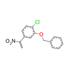 C=C(c1ccc(Cl)c(OCc2ccccc2)c1)[N+](=O)[O-]